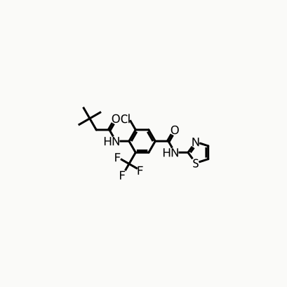 CC(C)(C)CC(=O)Nc1c(Cl)cc(C(=O)Nc2nccs2)cc1C(F)(F)F